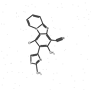 Cc1nc(-c2c(C)c(C#N)c3nc4ccccn4c3c2Cl)cs1